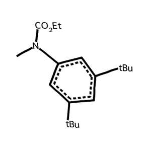 CCOC(=O)N(C)c1cc(C(C)(C)C)cc(C(C)(C)C)c1